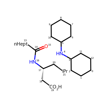 C1CCC(NC2CCCCC2)CC1.CCCCCCCC(=O)N[C@@H](CC(=O)O)CC(C)C